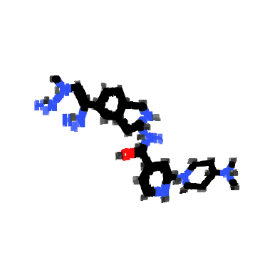 CN(N)/C=C(\N)c1ccc2cnc(NC(=O)c3ccnc(N4CCC(N(C)C)CC4)c3)cc2c1